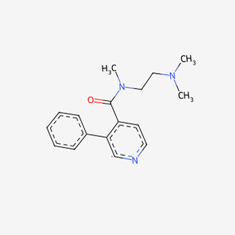 CN(C)CCN(C)C(=O)c1ccn[c]c1-c1ccccc1